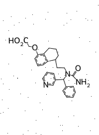 NC(=O)N(CCC1CCCc2c(OCC(=O)O)cccc21)C(c1ccccc1)c1cccnc1